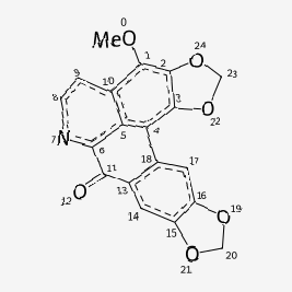 COc1c2c(c3c4c(nccc14)C(=O)c1cc4c(cc1-3)OCO4)OCO2